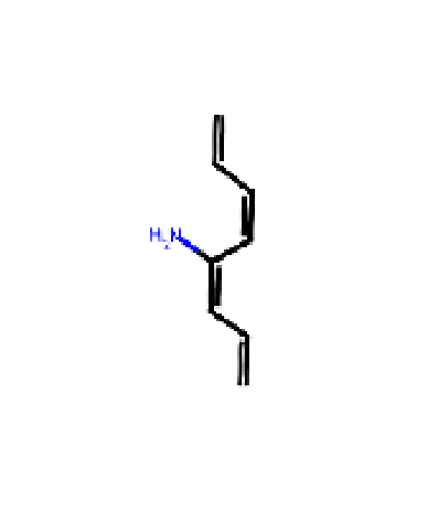 C=C/C=C\C(N)=C/C=C